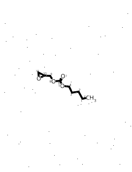 CCCCCOC(=O)OCC1CO1